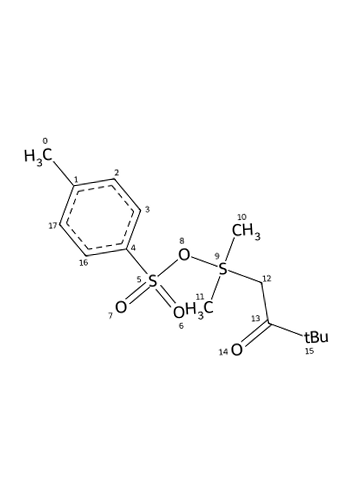 Cc1ccc(S(=O)(=O)OS(C)(C)CC(=O)C(C)(C)C)cc1